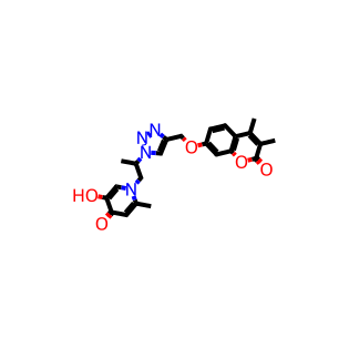 Cc1c(C)c2ccc(OCc3cn(C(C)Cn4cc(O)c(=O)cc4C)nn3)cc2oc1=O